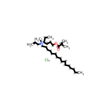 C=CC[N+](C)(CCCCCCCCCCCCCCCC)C(CC)CCCOC(=O)C(=C)C.[Cl-]